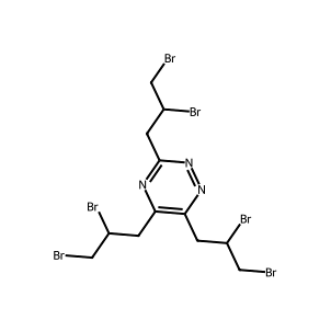 BrCC(Br)Cc1nnc(CC(Br)CBr)c(CC(Br)CBr)n1